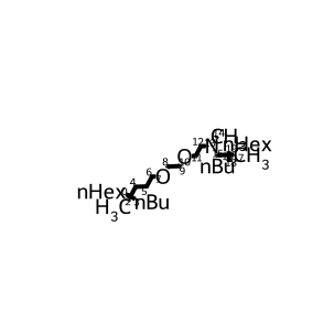 CCCCCCC(C)(CCCC)CCCOCCOCCN(C)CC(C)(CCCC)CCCCCC